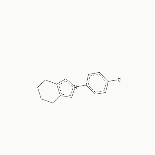 Clc1ccc(-n2cc3c(c2)CCCC3)cc1